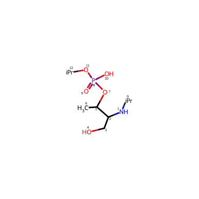 CC(C)NC(CO)C(C)OP(=O)(O)OC(C)C